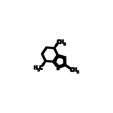 Cc1cc2c(s1)[C@@H](C)CC[C@H]2C